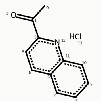 CC(=O)c1ccc2ccccc2n1.Cl